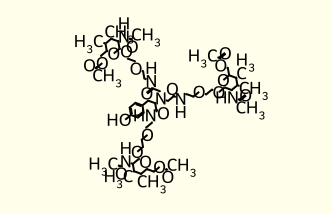 CC(=O)NC1C(OCCOCCNC(=O)CN(CC(=O)NCCOCCOC2OC(COC(C)=O)C(C)C(C)C2NC(C)=O)C(Cc2ccc(O)cc2)C(=O)NCCOCCOC2OC(COC(C)=O)C(C)C(C)C2NC(C)=O)OC(COC(C)=O)C(C)C1C